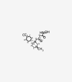 CN1CC[C@H](c2ccc(Cl)cc2)[C@@H](C[S+]([O-])CC(=O)NO)C1